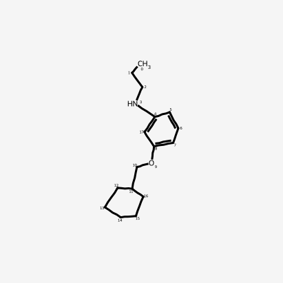 CCCNc1cccc(OCC2CCCCC2)c1